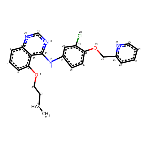 C[AsH]CCOc1cccc2ncnc(Nc3ccc(OCc4ccccn4)c(Cl)c3)c12